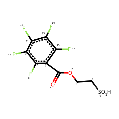 O=C(OCCS(=O)(=O)O)c1c(F)c(F)c(F)c(F)c1F